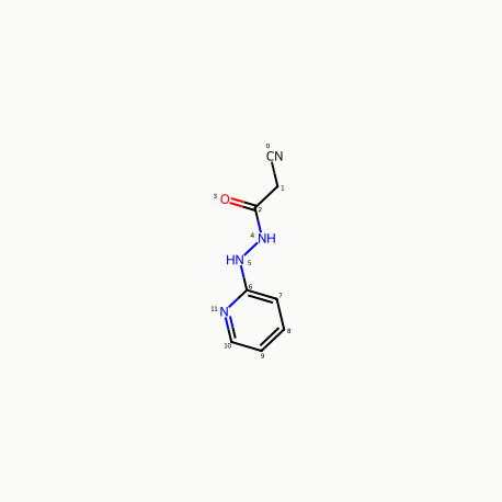 N#CCC(=O)NNc1ccccn1